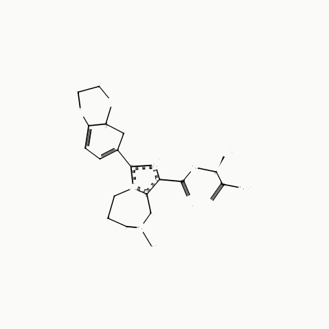 CNC(=O)[C@@H](NC(=O)c1nc(C2=CC=C3OCCOC3C2)n2c1CN(C)CCC2)C(C)(C)C